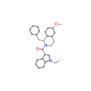 CCn1cc(C(=O)N2CCc3cc(OC)ccc3C2Cc2ccccc2)c2ccccc21